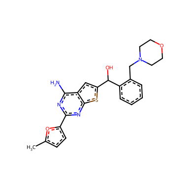 Cc1ccc(-c2nc(N)c3cc(C(O)c4ccccc4CN4CCOCC4)sc3n2)o1